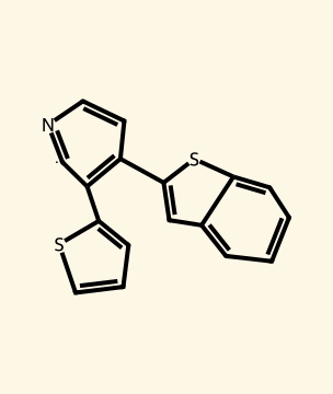 [c]1nccc(-c2cc3ccccc3s2)c1-c1cccs1